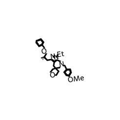 CCn1nc(C[C@@H](C)COCc2ccccc2)c2c1CN(Cc1ccc(OC)cc1)CC1(CCOCC1)C2